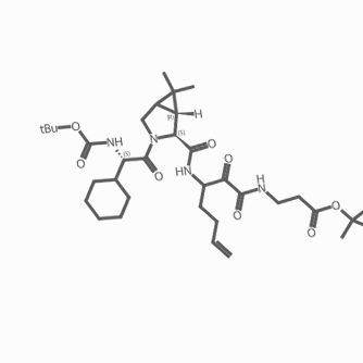 C=CCCC(NC(=O)[C@@H]1[C@@H]2C(CN1C(=O)[C@@H](NC(=O)OC(C)(C)C)C1CCCCC1)C2(C)C)C(=O)C(=O)NCCC(=O)OC1(C)CC1